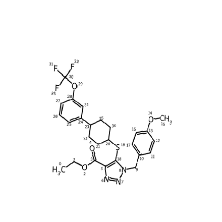 CCOC(=O)c1nnn(Cc2ccc(OC)cc2)c1SC1CCC(c2cccc(OC(F)(F)F)c2)CC1